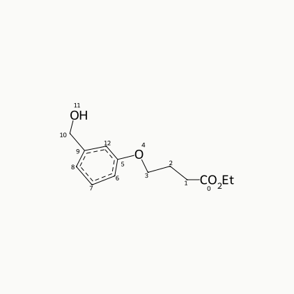 CCOC(=O)CCCOc1cccc(CO)c1